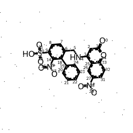 O=c1cc(NCc2ccc(S(=O)(=O)O)c([N+](=O)[O-])c2-c2ccccc2)c2cc([N+](=O)[O-])ccc2o1